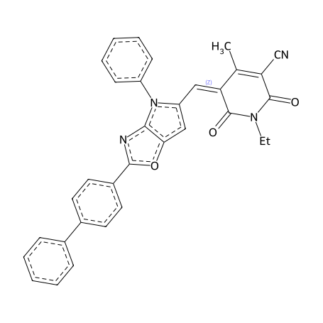 CCN1C(=O)C(C#N)=C(C)/C(=C/c2cc3oc(-c4ccc(-c5ccccc5)cc4)nc3n2-c2ccccc2)C1=O